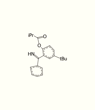 CC(C)C(=O)Oc1ccc(C(C)(C)C)cc1C(=N)c1ccccc1